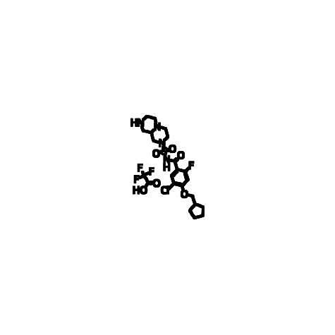 O=C(NS(=O)(=O)N1CCN2CCNCC2C1)c1cc(Cl)c(OCC2CCCC2)cc1F.O=C(O)C(F)(F)F